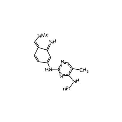 CCCNc1nc(NC2=CC(=N)/C(=C\NC)C=C2)ncc1C